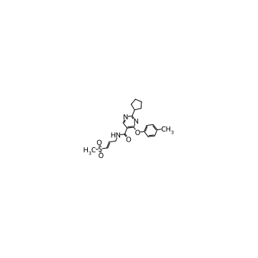 Cc1ccc(Oc2nc(C3CCCC3)ncc2C(=O)NC/C=C/S(C)(=O)=O)cc1